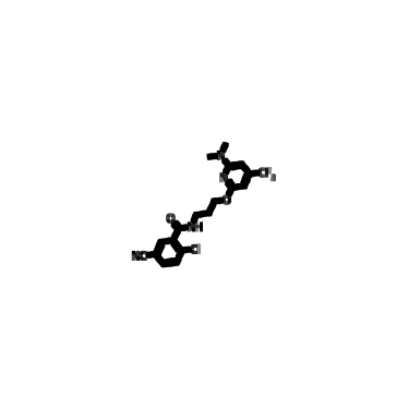 CN(C)c1cc(C(F)(F)F)cc(OCCCNC(=O)c2cc(C#N)ccc2Cl)n1